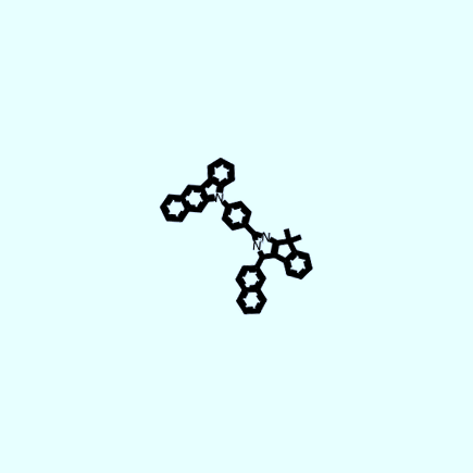 CC1(C)C2=C(c3ccccc31)C(c1ccc3ccccc3c1)N1C(c3ccc(-n4c5ccccc5c5cc6ccccc6cc54)cc3)N21